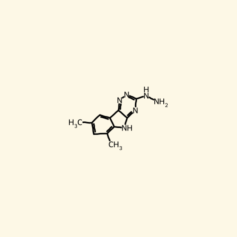 Cc1cc(C)c2[nH]c3nc(NN)nnc3c2c1